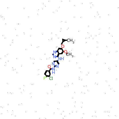 [CH2]C1CC1COc1cc2ncnc(Nc3cnc(NC(=O)c4ccc(F)c(Cl)c4)nc3)c2cc1OC